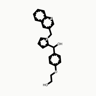 OCCOc1ccc(C(O)c2cccn2Cc2cnc3ccccc3c2)cc1